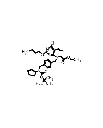 CCCCOc1nc(Cl)c(C=O)c(N(CC(=O)OCC)Cc2ccc(CN(C(=O)OC(C)(C)C)C3CCCC3)cc2)n1